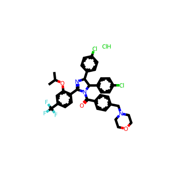 CC(C)Oc1cc(C(F)(F)F)ccc1C1=NC(c2ccc(Cl)cc2)C(c2ccc(Cl)cc2)N1C(=O)c1ccc(CN2CCOCC2)cc1.Cl